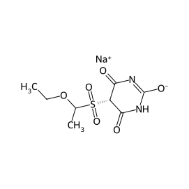 CCOC(C)S(=O)(=O)[C@@H]1C(=O)N=C([O-])NC1=O.[Na+]